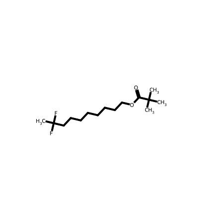 CC(F)(F)CCCCCCCCOC(=O)C(C)(C)C